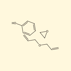 C1CO1.C=CCOCC=C.Oc1ccccc1